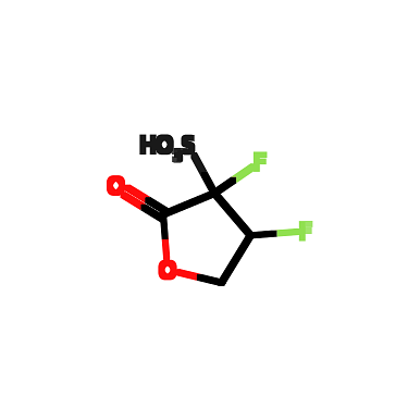 O=C1OCC(F)C1(F)S(=O)(=O)O